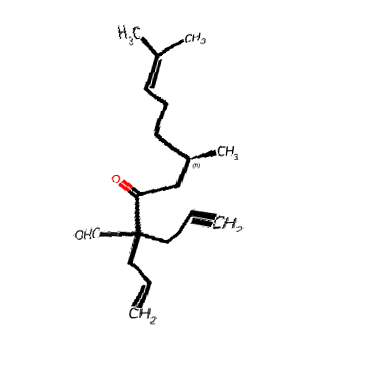 C=CCC([C]=O)(CC=C)C(=O)C[C@H](C)CCC=C(C)C